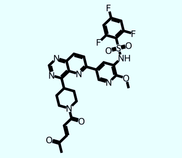 COc1ncc(-c2ccc3ncnc(C4CCN(C(=O)/C=C/C(C)=O)CC4)c3n2)cc1NS(=O)(=O)c1c(F)cc(F)cc1F